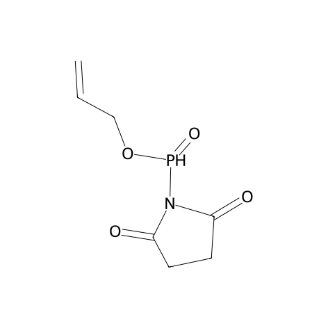 C=CCO[PH](=O)N1C(=O)CCC1=O